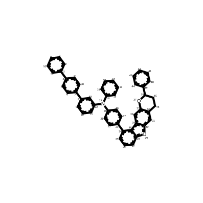 c1ccc(-c2ccc(-c3cccc(N(c4ccccc4)c4ccc(-c5cccc6oc7cc8c(cc7c56)OC(c5ccccc5)CC8)cc4)c3)cc2)cc1